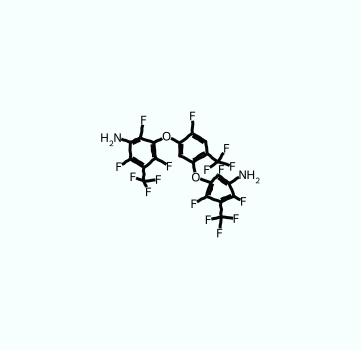 Nc1c(F)c(Oc2cc(Oc3c(F)c(N)c(F)c(C(F)(F)F)c3F)c(C(F)(F)F)cc2F)c(F)c(C(F)(F)F)c1F